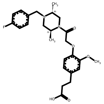 COc1cc(CCC(=O)O)ccc1OCC(=O)N1C[C@@H](C)N(Cc2ccc(F)cc2)C[C@@H]1C